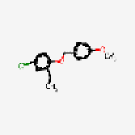 CCc1cc(Cl)ccc1OCc1ccc(OC)cc1